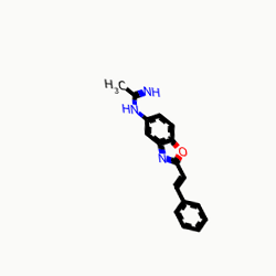 CC(=N)Nc1ccc2oc(C=Cc3ccccc3)nc2c1